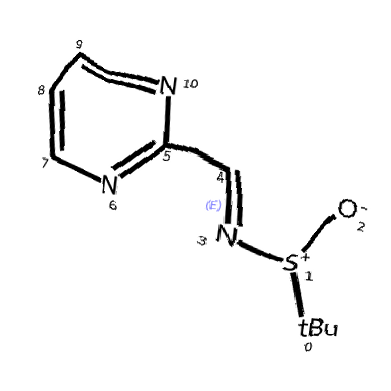 CC(C)(C)[S+]([O-])/N=C/c1ncccn1